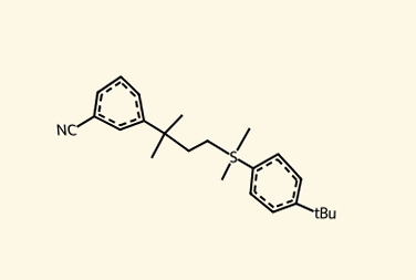 CC(C)(C)c1ccc(S(C)(C)CCC(C)(C)c2cccc(C#N)c2)cc1